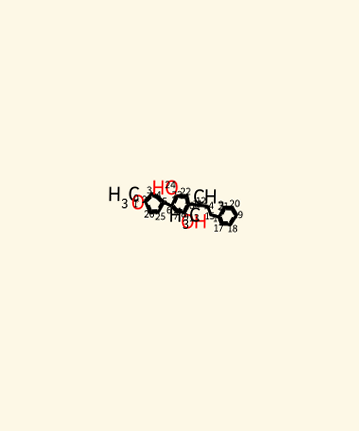 COc1ccc(-c2cc(O)c(C(C)(C)CCc3ccccc3)cc2O)cc1